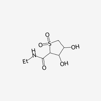 CCNC(=O)C1C(O)C(O)CS1(=O)=O